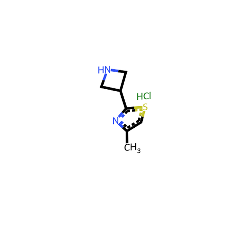 Cc1csc(C2CNC2)n1.Cl